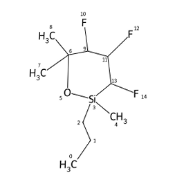 CCC[Si]1(C)OC(C)(C)C(F)C(F)C1F